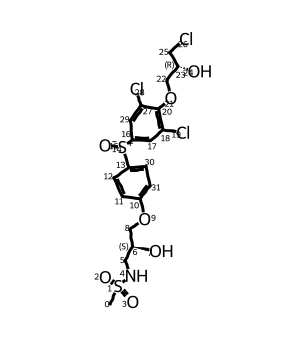 CS(=O)(=O)NC[C@H](O)COc1ccc([S+]([O-])c2cc(Cl)c(OC[C@@H](O)CCl)c(Cl)c2)cc1